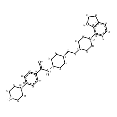 O=C(N[C@H]1CC[C@H](CCN2CCN(c3nccc4c3OCC4)CC2)CC1)c1ccc(N2CCOCC2)cc1